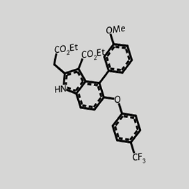 CCOC(=O)Cc1[nH]c2ccc(Oc3ccc(C(F)(F)F)cc3)c(-c3cccc(OC)c3)c2c1C(=O)OCC